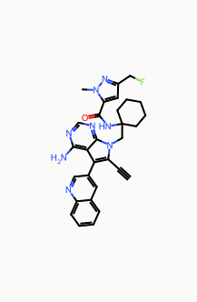 C#Cc1c(-c2cnc3ccccc3c2)c2c(N)ncnc2n1CC1(NC(=O)c2cc(CF)nn2C)CCCCC1